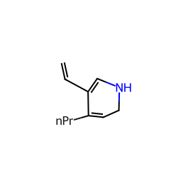 C=CC1=CNCC=C1CCC